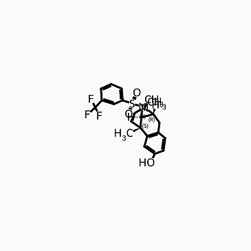 CN1CC[C@@]2(C)c3cc(O)ccc3C[C@@H]1[C@@H]2N(C)S(=O)(=O)c1cccc(C(F)(F)F)c1